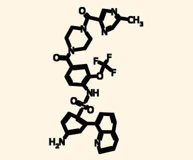 Cc1cnc(C(=O)N2CCN(C(=O)c3ccc(NS(=O)(=O)c4ccc(N)cc4-c4cccc5cccnc45)c(OC(F)(F)F)c3)CC2)cn1